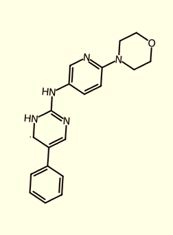 [CH]1NC(Nc2ccc(N3CCOCC3)nc2)=NC=C1c1ccccc1